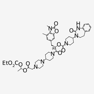 CCOC(=O)OC(C)OC(=O)CN1CCN(C2CCN(C(=O)[C@@H](Cc3cc(C)c4c(c3)oc(=O)n4C)OC(=O)N3CCC(N4CCc5ccccc5NC4=O)CC3)CC2)CC1